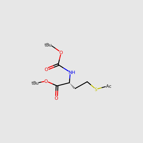 CC(=O)SCC[C@@H](NC(=O)OC(C)(C)C)C(=O)OC(C)(C)C